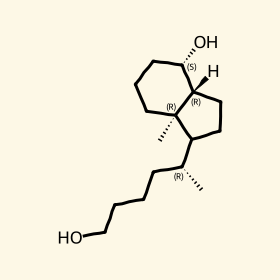 C[C@H](CCCCO)C1CC[C@H]2[C@@H](O)CCC[C@]12C